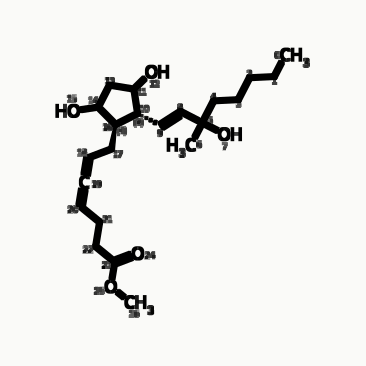 CCCCCC(C)(O)C=C[C@H]1C(O)CC(O)[C@@H]1CC=C=CCCC(=O)OC